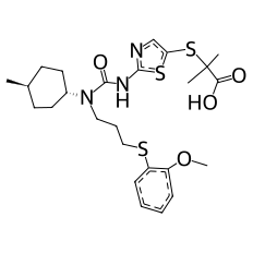 COc1ccccc1SCCCN(C(=O)Nc1ncc(SC(C)(C)C(=O)O)s1)[C@H]1CC[C@H](C)CC1